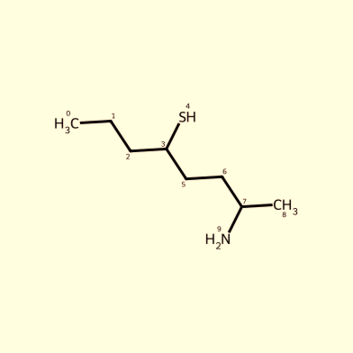 CCCC(S)CCC(C)N